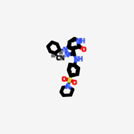 N#C[C@H]1CCCC[C@@H]1n1nc(Nc2ccc(S(=O)(=O)N3CCCCC3)cc2)c2c(=O)[nH]ccc21